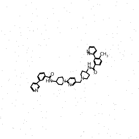 Cc1ccc(C(=O)NC2CCN(Cc3ccc(N4CCC(NC(=O)c5cccc(-c6cccnc6)c5)CC4)nc3)CC2)cc1-c1cccnn1